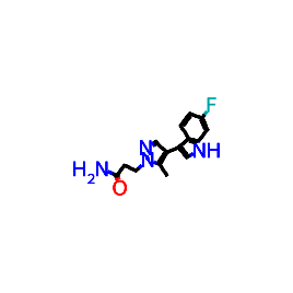 Cc1c(-c2c[nH]c3cc(F)ccc23)cnn1CCC(N)=O